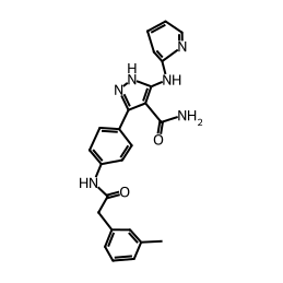 Cc1cccc(CC(=O)Nc2ccc(-c3n[nH]c(Nc4ccccn4)c3C(N)=O)cc2)c1